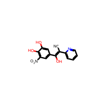 N#C/C(=C(/O)c1cc(O)c(O)c([N+](=O)[O-])c1)c1ccccn1